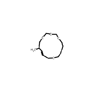 CC1/C=C/CCCCCCCCCCCC1